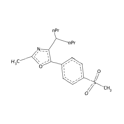 CCCC(CCC)c1nc(C)oc1-c1ccc(S(C)(=O)=O)cc1